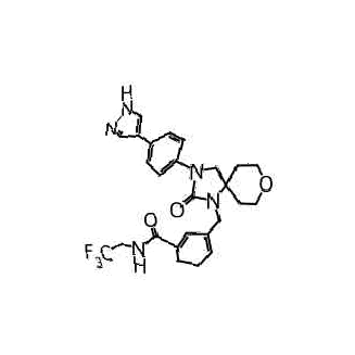 O=C(NCC(F)(F)F)C1=CC(CN2C(=O)N(c3ccc(-c4cn[nH]c4)cc3)CC23CCOCC3)=CCC1